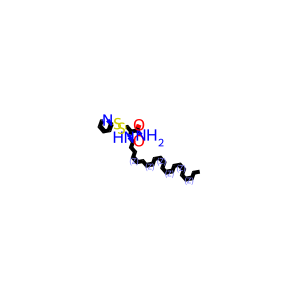 CC/C=C\C/C=C\C/C=C\C/C=C\C/C=C\C/C=C\CCC(=O)NC(CSSc1ccccn1)C(N)=O